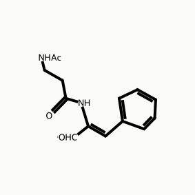 CC(=O)NCCC(=O)NC([C]=O)=Cc1ccccc1